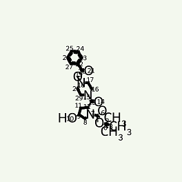 CC(C)(C)OC(=O)N1C[C@H](O)C[C@H]1C(=O)N1CCN(OC(=O)c2ccccc2)CC1